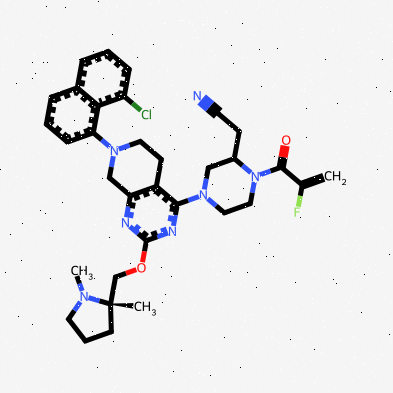 C=C(F)C(=O)N1CCN(c2nc(OC[C@]3(C)CCCN3C)nc3c2CCN(c2cccc4cccc(Cl)c24)C3)CC1CC#N